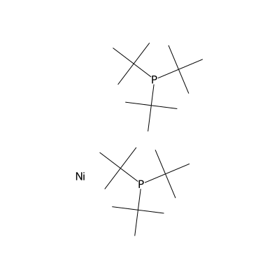 CC(C)(C)P(C(C)(C)C)C(C)(C)C.CC(C)(C)P(C(C)(C)C)C(C)(C)C.[Ni]